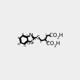 O=C(O)CC(CSc1nc2ccccc2s1)C(=O)O